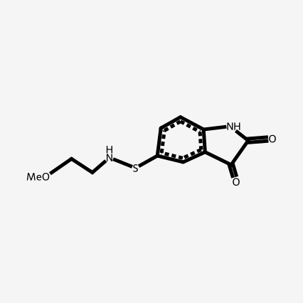 COCCNSc1ccc2c(c1)C(=O)C(=O)N2